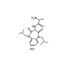 CC(C)CN1C(=O)C(NC(=O)[C@H](C)N)C(=O)N(CC(C)C)c2ccccc21.Cl